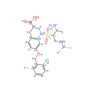 CC(N)C(CNC(F)F)S(=O)(=O)N1CC(C(=O)O)Cc2ccc(OCc3c(F)cccc3Cl)cc21